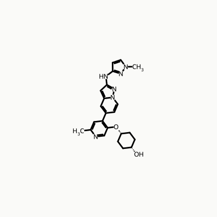 Cc1cc(-c2ccn3nc(Nc4ccn(C)n4)cc3c2)c(O[C@H]2CC[C@@H](O)CC2)cn1